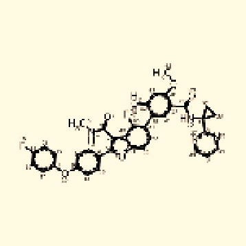 CNC(=O)c1c(-c2ccc(Oc3ccc(F)cc3)cc2)oc2ccc(-c3cc(C(=O)NC4(c5ncccn5)CC4)c(OC)cc3C)c(F)c12